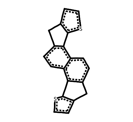 c1cc2c(s1)-c1c(ccc3c4c(ccc13)Cc1ccsc1-4)C2